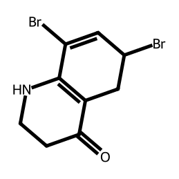 O=C1CCNC2=C1CC(Br)C=C2Br